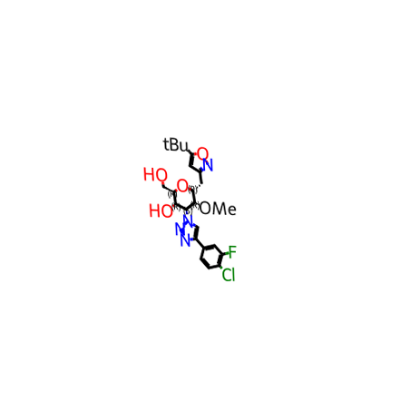 CO[C@@H]1[C@@H](n2cc(-c3ccc(Cl)c(F)c3)nn2)[C@@H](O)[C@@H](CO)O[C@@H]1Cc1cc(C(C)(C)C)on1